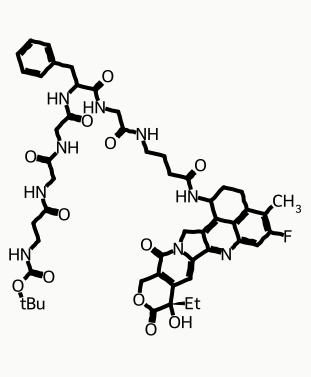 CC[C@@]1(O)C(=O)OCc2c1cc1n(c2=O)Cc2c-1nc1cc(F)c(C)c3c1c2C(NC(=O)CCCNC(=O)CNC(=O)C(Cc1ccccc1)NC(=O)CNC(=O)CNC(=O)CCNC(=O)OC(C)(C)C)CC3